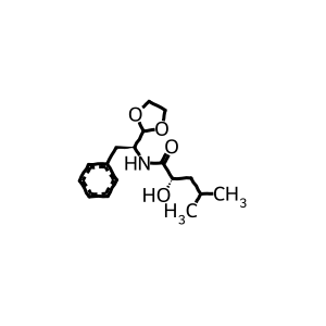 CC(C)C[C@H](O)C(=O)N[C@@H](Cc1ccccc1)C1OCCO1